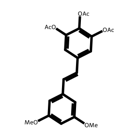 COc1cc(/C=C/c2cc(OC(C)=O)c(OC(C)=O)c(OC(C)=O)c2)cc(OC)c1